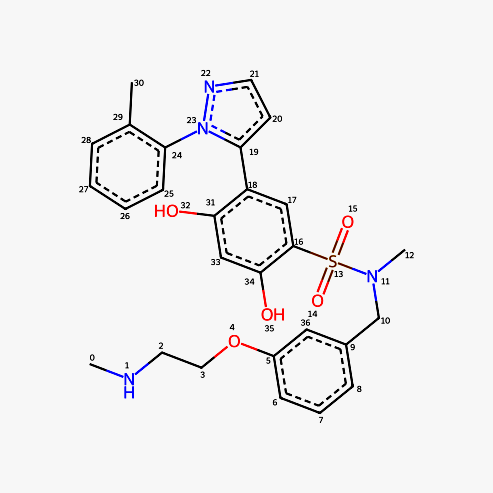 CNCCOc1cccc(CN(C)S(=O)(=O)c2cc(-c3ccnn3-c3ccccc3C)c(O)cc2O)c1